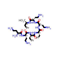 CC(C)C[C@H](NC(=O)[C@H](CCN)NC(=O)[C@H](CCN)NC(=O)[C@H](CC(C)C)NC(=O)[C@@H](CC(C)C)NC(=O)[C@H](CCN)NC(=O)[C@@H](N)CCN)C(=O)O